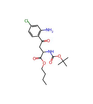 CCCCOC(=O)C(CC(=O)c1ccc(Cl)cc1N)NC(=O)OC(C)(C)C